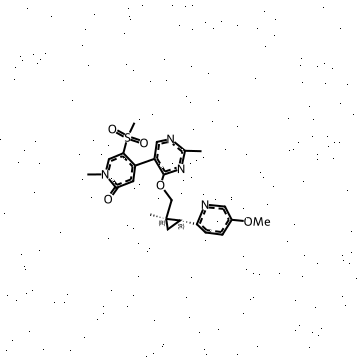 COc1ccc([C@@H]2C[C@@]2(C)COc2nc(C)ncc2-c2cc(=O)n(C)cc2S(C)(=O)=O)nc1